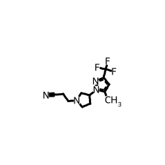 Cc1cc(C(F)(F)F)nn1C1CCN(CCC#N)C1